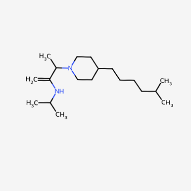 C=C(NC(C)C)C(C)N1CCC(CCCCC(C)C)CC1